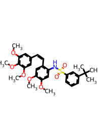 COc1cc(/C=C\c2cc(OC)c(OC)c(OC)c2)c(NS(=O)(=O)c2cccc(C(C)(C)C)c2)cc1OC